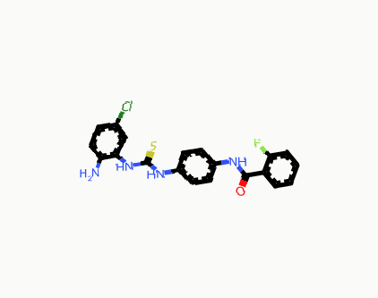 Nc1ccc(Cl)cc1NC(=S)Nc1ccc(NC(=O)c2ccccc2F)cc1